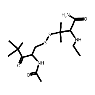 CCNC(C(N)=O)C(C)(C)SSCC(NC(C)=O)C(=O)C(C)(C)C